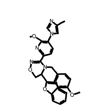 COc1ccc(CN2C(c3ccc(-n4cnc(C)c4)c(OC)n3)=NOCC2c2cc3ccccc3o2)cc1